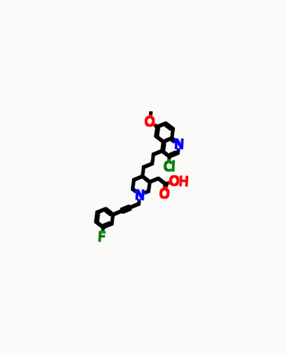 COc1ccc2ncc(Cl)c(CCCC3CCN(CC#Cc4cccc(F)c4)CC3CC(=O)O)c2c1